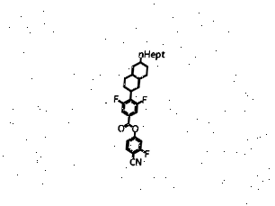 CCCCCCCC1CCC2CC(c3c(F)cc(C(=O)Oc4ccc(C#N)c(F)c4)cc3F)CCC2C1